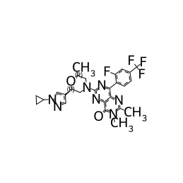 Cc1nc2c(-c3ccc(C(F)(F)F)cc3F)nc(N3C[C@@H](C)O[C@H](c4cnn(C5CC5)c4)C3)nc2c(=O)n1C